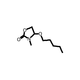 CCCCCOC1COC(=O)N1C